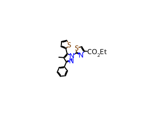 CCOC(=O)c1csc(-n2nc(-c3ccccc3)c(C)c2-c2cccs2)n1